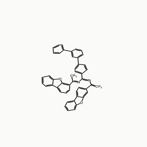 C=C(/N=C(\N=C(/C)c1cccc2c1oc1ccccc12)c1ccc(-c2cccc(-c3ccccc3)c2)cc1)c1ccc2c(c1)oc1ccccc12